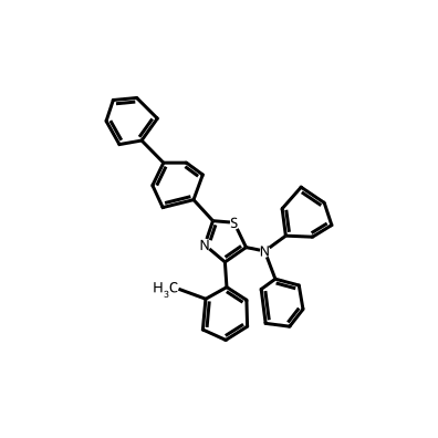 Cc1ccccc1-c1nc(-c2ccc(-c3ccccc3)cc2)sc1N(c1ccccc1)c1ccccc1